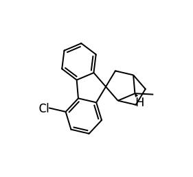 C[C@H]1C2CCC1C1(C2)c2ccccc2-c2c(Cl)cccc21